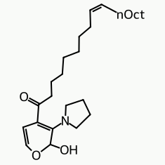 CCCCCCCC/C=C\CCCCCCCC(=O)C1=C(N2CCCC2)C(O)OC=C1